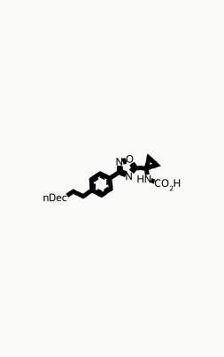 CCCCCCCCCCCCc1ccc(-c2noc(C3(NC(=O)O)CC3)n2)cc1